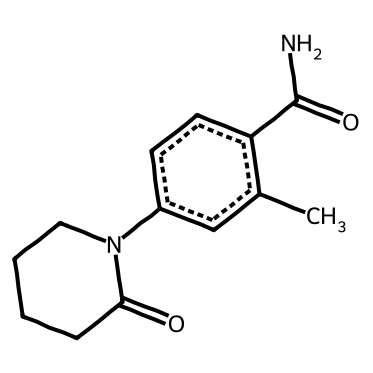 Cc1cc(N2CCCCC2=O)ccc1C(N)=O